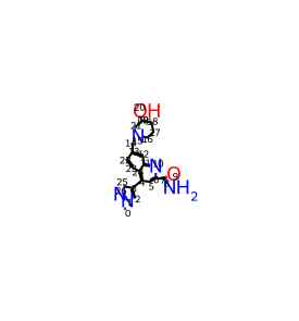 Cn1cc(-c2cc(C(N)=O)nc3cc(CN4CCC[C@@H](O)C4)ccc23)cn1